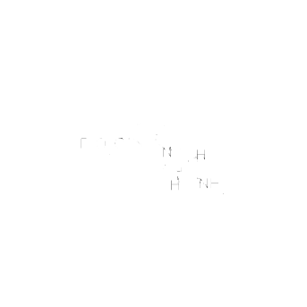 CCOC(=O)c1cccc(N2C[C@@H]3[C@@H](N)[C@@H]3C2)c1